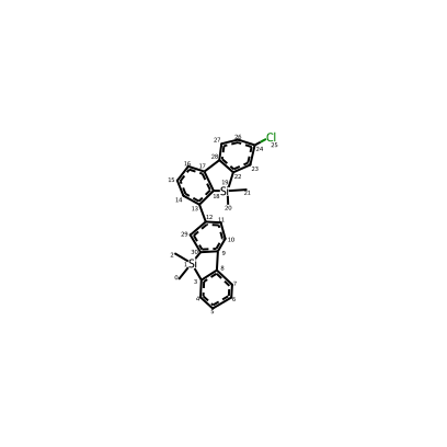 C[Si]1(C)c2ccccc2-c2ccc(-c3cccc4c3[Si](C)(C)c3cc(Cl)ccc3-4)cc21